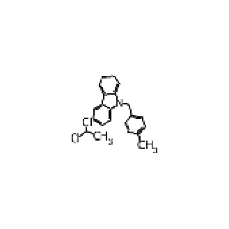 CC(Cl)Cl.Cc1ccc(Cn2c3ccccc3c3ccccc32)cc1